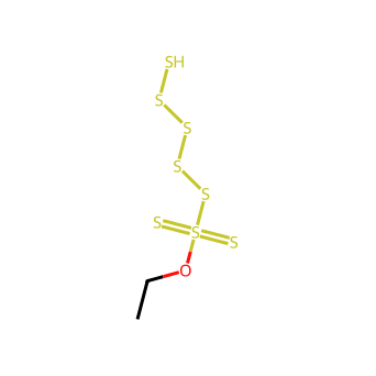 CCOS(=S)(=S)SSSSS